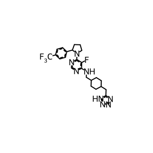 Fc1c(NCC2CCC(Cc3nnn[nH]3)CC2)ncnc1N1CCCC1c1ccc(C(F)(F)F)cc1